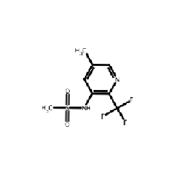 Cc1cnc(C(F)(F)F)c(NS(C)(=O)=O)c1